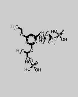 CC.CCC.CCOc1cc(C)nc(OC(C)C)n1.OP(O)(O)=S.OP(O)(O)=S